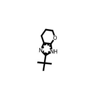 CC(C)(C)c1nc2c([nH]1)OCCC2